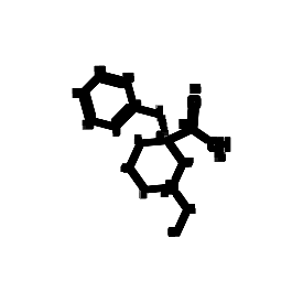 CCN1CCC[C@@](Cc2ccccc2)(C(=O)O)C1